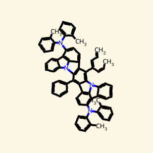 C=C/C=C(\C=C/C)c1c2c3ccc(N(c4ccccc4C)c4ccccc4C)c4c5ccccc5n(c2c(-c2ccccc2)c2c5ccc(N(c6ccccc6C)c6ccccc6C)c6c7ccccc7n(c12)c56)c34